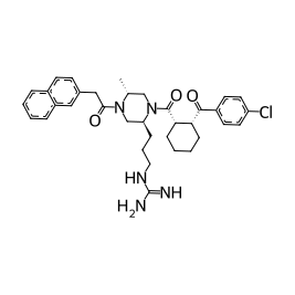 C[C@@H]1CN(C(=O)[C@H]2CCCC[C@H]2C(=O)c2ccc(Cl)cc2)[C@@H](CCCNC(=N)N)CN1C(=O)Cc1ccc2ccccc2c1